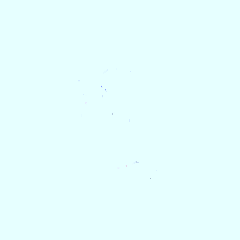 C=C1CCC(=O)N1CCCCCC(=O)C(C)(C)C